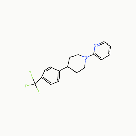 FC(F)(F)c1ccc([C]2CCN(c3ccccn3)CC2)cc1